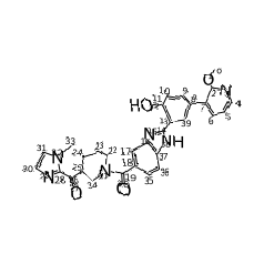 COc1ncccc1-c1ccc(O)c(-c2nc3cc(C(=O)N4CCCC(C(=O)c5nccn5C)C4)ccc3[nH]2)c1